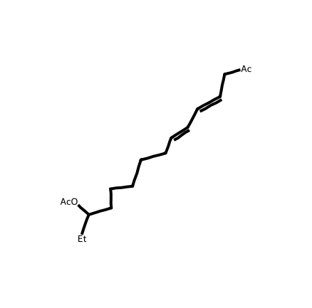 CCC(CCCCC/C=C/C=C/CC(C)=O)OC(C)=O